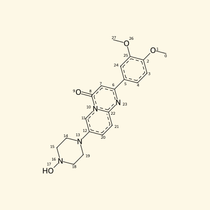 COc1ccc(-c2cc(=O)n3cc(N4CCN(O)CC4)ccc3n2)cc1OC